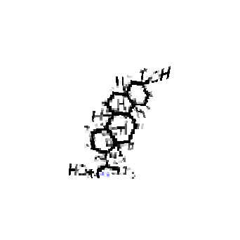 C[C@@]1(O)CC[C@H]2[C@H](CC[C@@H]3[C@@H]2CC[C@]2(C)[C@@H](/C(=N\O)C(F)(F)F)CC[C@@H]32)C1